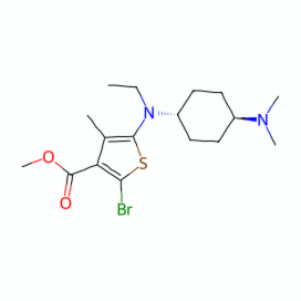 CCN(c1sc(Br)c(C(=O)OC)c1C)[C@H]1CC[C@H](N(C)C)CC1